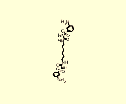 Nc1cccc(S(=O)(=O)NC(=O)NCCCCCCNC(=O)NS(=O)(=O)c2cccc(N)c2)c1